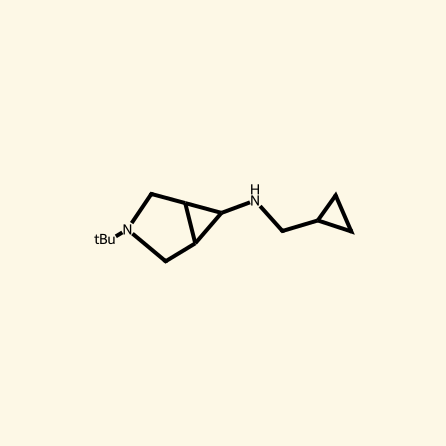 CC(C)(C)N1CC2C(C1)C2NCC1CC1